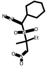 CCC(C)(C=S(=O)=O)S(=O)(=O)C(=[N+]=[N-])C1CCCCC1